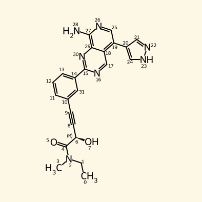 CCN(C)C(=O)[C@H](O)C#Cc1cccc(-c2ncc3c(-c4cn[nH]c4)cnc(N)c3n2)c1